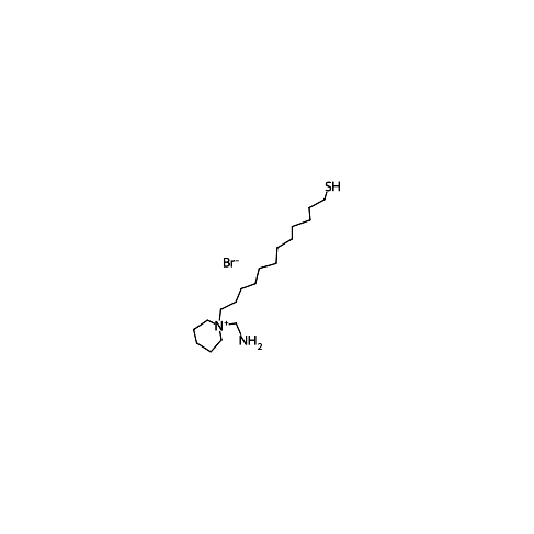 NC[N+]1(CCCCCCCCCCCCS)CCCCC1.[Br-]